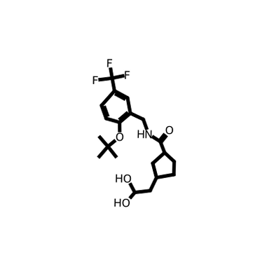 CC(C)(C)Oc1ccc(C(F)(F)F)cc1CNC(=O)C1CCC(CC(O)O)C1